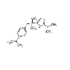 CC(C)c1ccc(CC(C)(C)c2ccc(C(C)C)o2)cc1